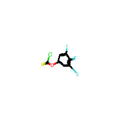 Fc1cc(OC(=S)Cl)cc(F)c1F